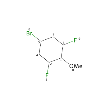 COC1C(F)CC(Br)CC1F